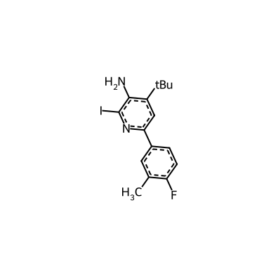 Cc1cc(-c2cc(C(C)(C)C)c(N)c(I)n2)ccc1F